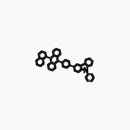 c1ccc(-n2c3ccccc3c3cc(-c4ccc(-c5c6ccccc6c(-c6cccc7ccccc67)c6ccccc56)cc4)ccc32)cc1